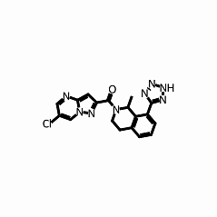 CC1c2c(cccc2-c2nn[nH]n2)CCN1C(=O)c1cc2ncc(Cl)cn2n1